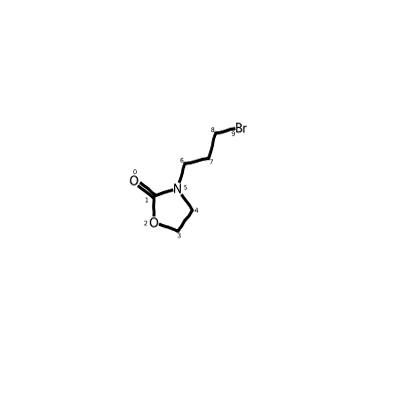 O=C1OCCN1CCCBr